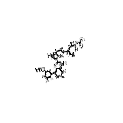 CCC(=O)Nc1cncc(-c2ccc3[nH]nc(-c4nc5c(-c6cc(O)cc(F)c6)cccc5[nH]4)c3n2)c1